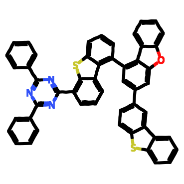 c1ccc(-c2nc(-c3ccccc3)nc(-c3cccc4c3sc3cccc(-c5cc(-c6ccc7sc8ccccc8c7c6)cc6oc7ccccc7c56)c34)n2)cc1